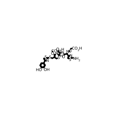 Nc1nc(C(=NOCC(=O)O)C(=O)N[C@@H]2C(=O)N3C(OC(=O)O)=C(CSc4nc(-c5ccc(O)c(O)c5)cs4)CS[C@@H]23)cs1